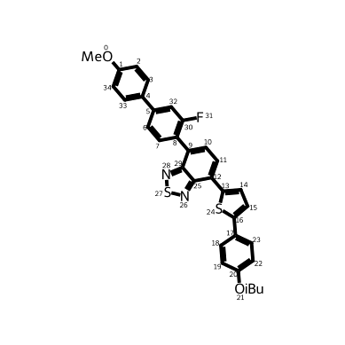 COc1ccc(-c2ccc(-c3ccc(-c4ccc(-c5ccc(OCC(C)C)cc5)s4)c4nsnc34)c(F)c2)cc1